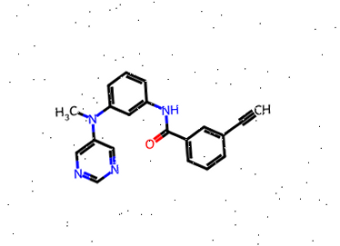 C#Cc1cccc(C(=O)Nc2cccc(N(C)c3cncnc3)c2)c1